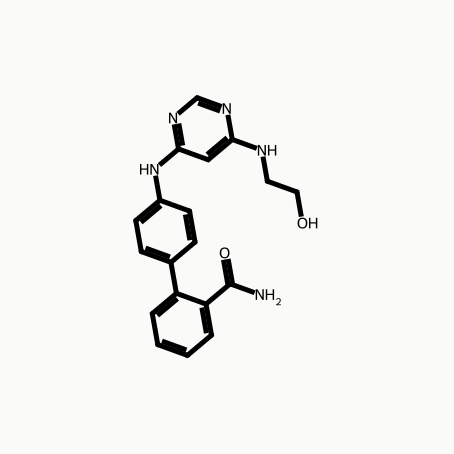 NC(=O)c1ccccc1-c1ccc(Nc2cc(NCCO)ncn2)cc1